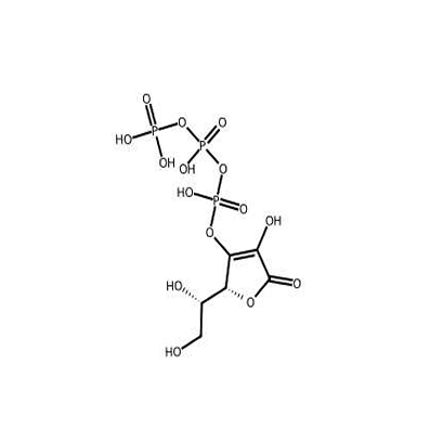 O=C1O[C@H]([C@@H](O)CO)C(OP(=O)(O)OP(=O)(O)OP(=O)(O)O)=C1O